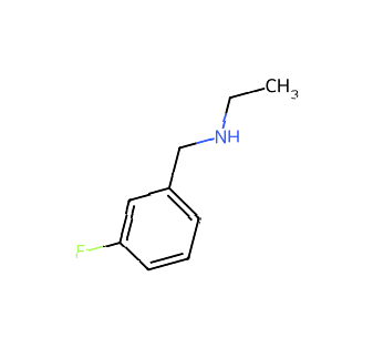 CCNCc1cccc(F)c1